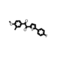 COc1ccc(C(=O)C(=O)c2ccc(-c3ccc(F)cc3)s2)cc1C